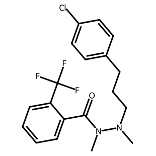 CN(CCCc1ccc(Cl)cc1)N(C)C(=O)c1ccccc1C(F)(F)F